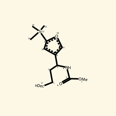 CCCCCCCCCCCCC(NC(=O)OC)c1coc([Si](C)(C)C)c1